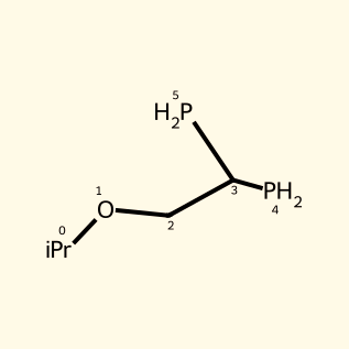 CC(C)OCC(P)P